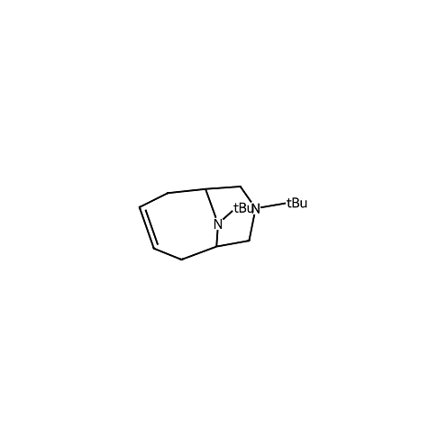 CC(C)(C)N1CC2CC=CCC(C1)N2C(C)(C)C